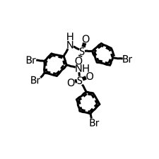 O=S(=O)(Nc1cc(Br)c(Br)cc1NS(=O)(=O)c1ccc(Br)cc1)c1ccc(Br)cc1